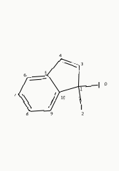 IC1(I)C=Cc2ccccc21